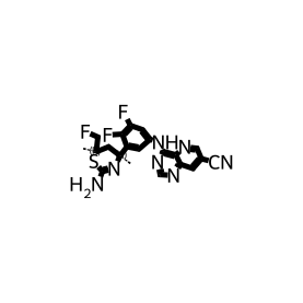 C[C@]1(CF)C[C@@](C)(c2cc(Nc3ncnc4cc(C#N)cnc34)cc(F)c2F)N=C(N)S1